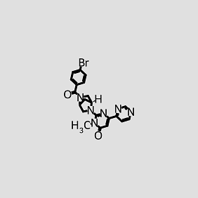 Cn1c(N2CC3C[C@H]2CN3C(=O)c2ccc(Br)cc2)nc(-c2ccncn2)cc1=O